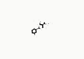 Cc1cccc(-c2ncc(C(=O)NC(C)C)c(N)n2)c1